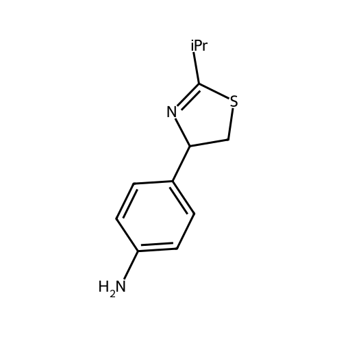 CC(C)C1=NC(c2ccc(N)cc2)CS1